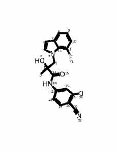 CC(O)(Cn1ccc2cccc(F)c21)C(=O)Nc1ccc(C#N)c(Cl)c1